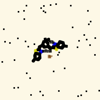 CCCCCN1C(=CC2=CC(=Cc3sc4cc(C)ccc4[n+]3CC)CC(C)(C)C2)Sc2cc(C)ccc21.[Br-]